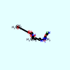 C=C(C)c1cc(C(=O)NC2CCC(=O)/C(=C\COC(=O)CCCCCCCCCCCCCCC(=O)OC(C)(C)C)C2=O)c(C=O)cc1CC1CCC(CCC2CCC=C(/C(N)=C/C=C(\N)C(=O)[N+](C)=C3CCC(Oc4ccc(C#N)c(Cl)c4)CC3)CC2)CC1